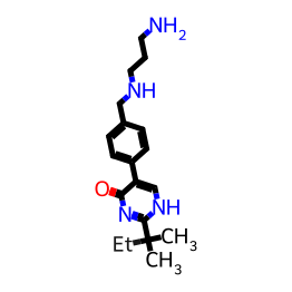 CCC(C)(C)c1nc(=O)c(-c2ccc(CNCCCN)cc2)c[nH]1